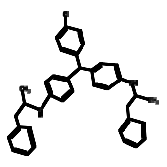 CC(Cc1ccccc1)Nc1ccc(C(c2ccc(Cl)cc2)c2ccc(NC(C)Cc3ccccc3)cc2)cc1